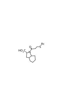 CC(=O)SCCC(=O)N1C(C(=O)O)CC2CCCCC21